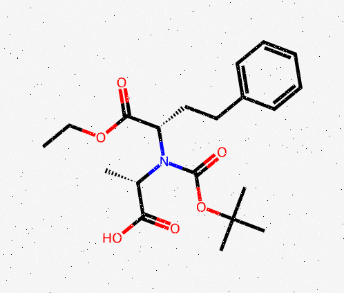 CCOC(=O)[C@H](CCc1ccccc1)N(C(=O)OC(C)(C)C)[C@@H](C)C(=O)O